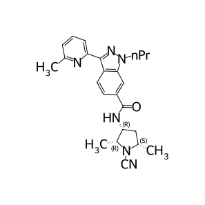 CCCn1nc(-c2cccc(C)n2)c2ccc(C(=O)N[C@@H]3C[C@H](C)N(C#N)[C@@H]3C)cc21